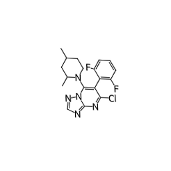 CC1CCN(c2c(-c3c(F)cccc3F)c(Cl)nc3ncnn23)C(C)C1